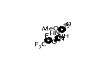 COc1cc(P(C)(C)=O)ccc1NC1C=C(Oc2cc(F)cc(C(F)(F)F)c2)C=NN1